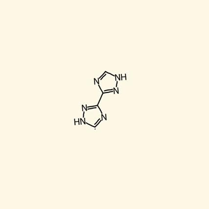 [c]1nc(-c2nc[nH]n2)n[nH]1